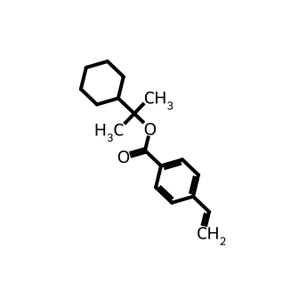 C=Cc1ccc(C(=O)OC(C)(C)C2CCCCC2)cc1